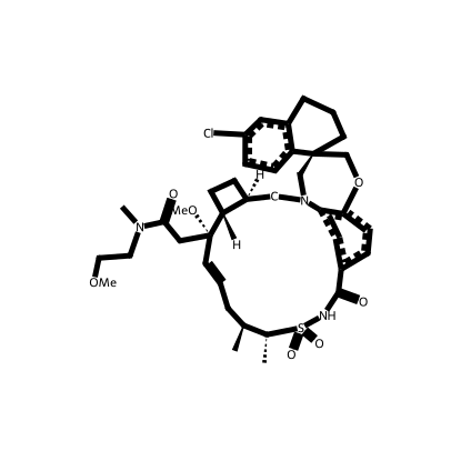 COCCN(C)C(=O)C[C@]1(OC)/C=C/C[C@H](C)[C@@H](C)S(=O)(=O)NC(=O)c2ccc3c(c2)N(C[C@@H]2CC[C@H]21)C[C@@]1(CCCc2cc(Cl)ccc21)CO3